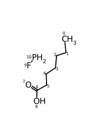 CCCCCCC(=O)O.FP